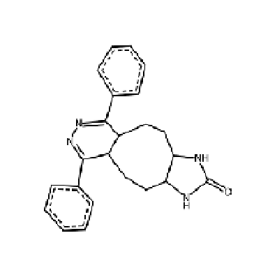 O=C1NC2CCC3C(c4ccccc4)=NN=C(c4ccccc4)C3CCC2N1